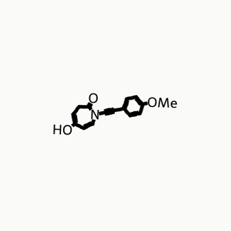 COc1ccc(C#CN2C=CC(O)=CCC2=O)cc1